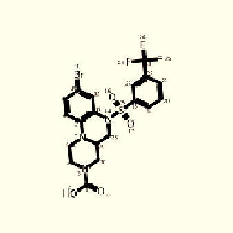 O=C(O)N1CCN2c3ccc(Br)cc3N(S(=O)(=O)c3cccc(C(F)(F)F)c3)CC2C1